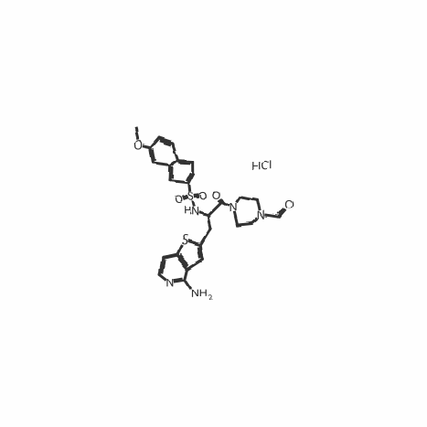 COc1ccc2ccc(S(=O)(=O)NC(Cc3cc4c(N)nccc4s3)C(=O)N3CCN(C=O)CC3)cc2c1.Cl